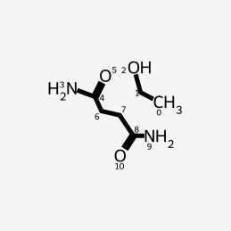 CCO.NC(=O)CCC(N)=O